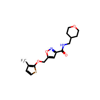 O=C(NCC1CCOCC1)c1cc(COc2sccc2C(F)(F)F)on1